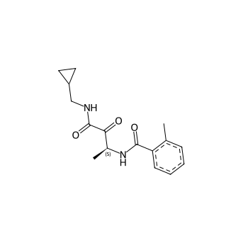 Cc1ccccc1C(=O)N[C@@H](C)C(=O)C(=O)NCC1CC1